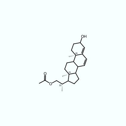 CC(=O)OC[C@@H](C)C1CCC2C3C=CC4=CC(O)CC[C@]4(C)C3CC[C@@]21C